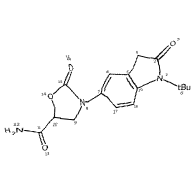 CC(C)(C)N1C(=O)Cc2cc(N3CC(C(N)=O)OC3=O)ccc21